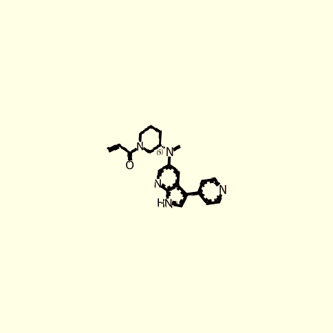 C=CC(=O)N1CCC[C@H](N(C)c2cnc3[nH]cc(-c4ccncc4)c3c2)C1